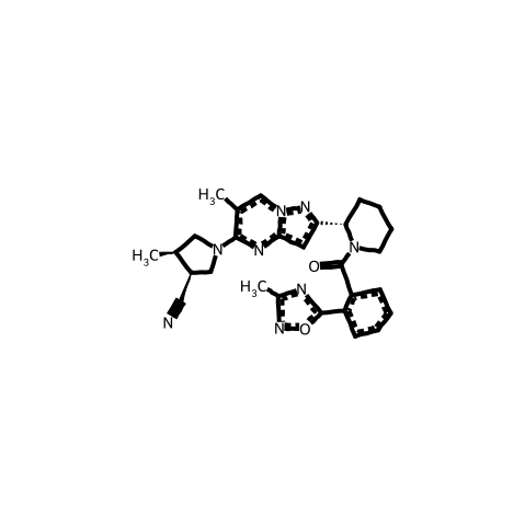 Cc1noc(-c2ccccc2C(=O)N2CCCC[C@H]2c2cc3nc(N4C[C@@H](C#N)[C@@H](C)C4)c(C)cn3n2)n1